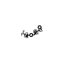 FC(F)c1nnc(-c2ccc(Cn3nnc(-c4csc5ccccc45)n3)cc2)o1